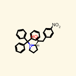 O=[N+]([O-])c1ccc(CC(O)[C@H]2CCCN2C(c2ccccc2)(c2ccccc2)c2ccccc2)cc1